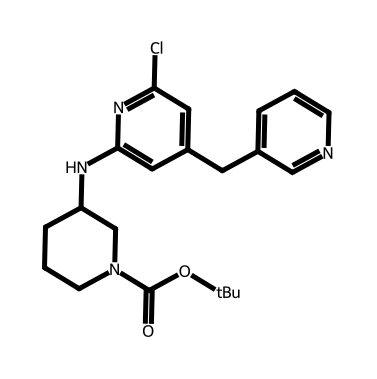 CC(C)(C)OC(=O)N1CCCC(Nc2cc(Cc3cccnc3)cc(Cl)n2)C1